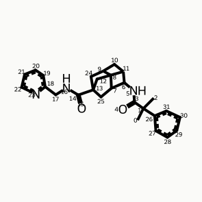 CC(C)(C(=O)NC1C2CC3CC1CC(C(=O)NCc1ccccn1)(C3)C2)c1ccccc1